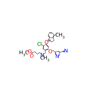 COC(=O)CCCN(C)Cc1cc(Cl)c(O[C@H]2CCc3c(C)cccc32)cc1OCc1cncc(C#N)c1